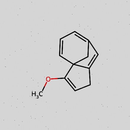 COC1=CCC2=CC3=CC=CC21C3